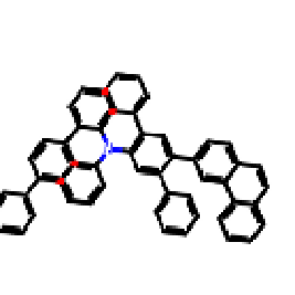 c1ccc(-c2ccc(-c3ccccc3N(c3ccccc3)c3cc(-c4ccccc4)c(-c4ccc5ccc6ccccc6c5c4)cc3-c3ccccc3)cc2)cc1